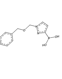 OB(O)c1ccn(COCc2ccccc2)n1